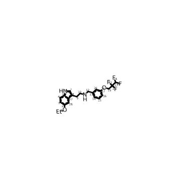 CCOc1ccc2[nH]cc(CCNCc3cccc(OCC(F)(F)C(F)F)c3)c2c1